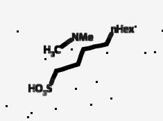 CCCCCCCCCCS(=O)(=O)O.CNC